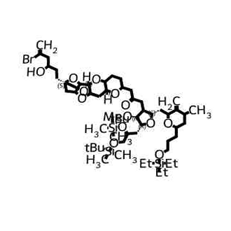 C=C(Br)CC(O)CC[C@@]12CC3OC4C(O1)[C@H]1OC(CC(=O)CC5[C@H](CC6OC(CCCO[Si](CC)(CC)CC)CC(C)C6=C)O[C@H](CC(CO[Si](C)(C)C(C)(C)C)O[Si](C)(C)C(C)(C)C)[C@@H]5OC)CCC1O[C@H]4C3O2